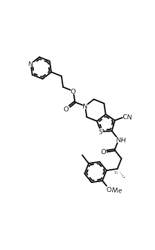 COc1ccc(C)cc1[C@@H](C)CC(=O)Nc1sc2c(c1C#N)CCN(C(=O)OCCc1ccncc1)C2